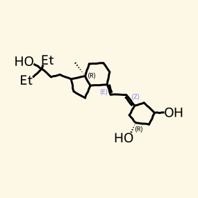 CCC(O)(CC)CCC1CCC2/C(=C/C=C3/CC(O)C[C@H](O)C3)CCC[C@]12C